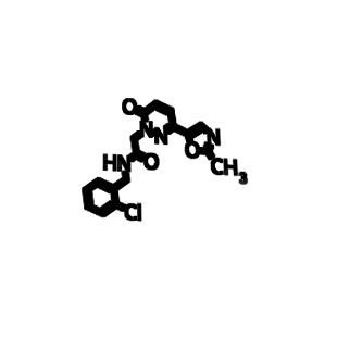 Cc1ncc(-c2ccc(=O)n(CC(=O)NCc3ccccc3Cl)n2)o1